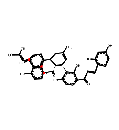 CC(C)=CCc1c(O)ccc(C(=O)[C@H]2[C@@H](c3c(O)ccc(C(=O)/C=C/c4ccc(O)cc4O)c3O)C=C(C)C[C@@H]2c2ccc(O)cc2O)c1O